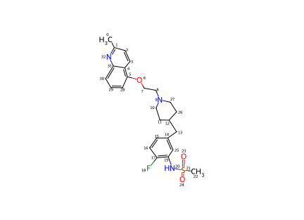 Cc1ccc2c(OCCN3CCC(Cc4ccc(F)c(NS(C)(=O)=O)c4)CC3)cccc2n1